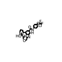 O=C(Nc1ccc(OC(F)(F)Cl)cc1)c1cc(-c2cccnn2)c2c(c1)nc1n2[C@H](CO)COC1